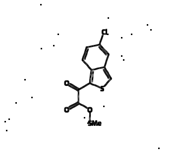 CSOC(=O)C(=O)c1scc2cc(Cl)ccc12